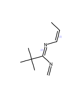 C=N/C(=N\C=C/C)C(C)(C)C